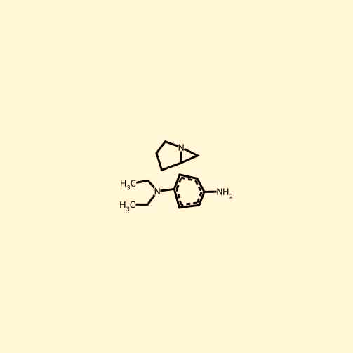 C1CC2CN2C1.CCN(CC)c1ccc(N)cc1